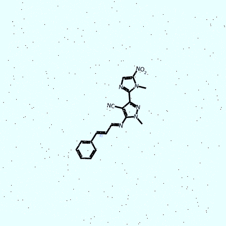 Cn1nc(-c2ncc([N+](=O)[O-])n2C)c(C#N)c1N=C/C=C/c1ccccc1